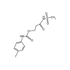 CS(=O)(=O)NC(=O)CCOC(=O)Nc1ccc(I)cc1